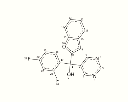 OC(c1cncnc1)(c1cc2ccccc2o1)c1ccc(F)cc1F